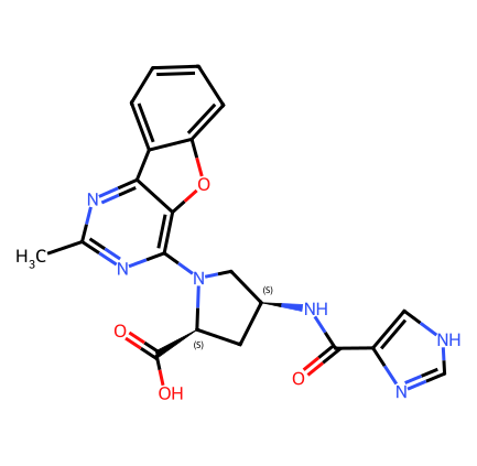 Cc1nc(N2C[C@@H](NC(=O)c3c[nH]cn3)C[C@H]2C(=O)O)c2oc3ccccc3c2n1